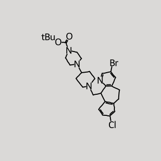 CC(C)(C)OC(=O)N1CCN(C2CCN(CC3c4ccc(Cl)cc4CCc4cc(Br)cnc43)CC2)CC1